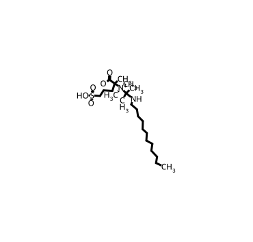 CCCCCCCCCCCCNC(C)(C)[N+](C)(C)C(C)(CCCS(=O)(=O)O)C(=O)[O-]